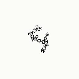 CC(C)(C)OC(=O)N1CCC(Nc2ccnc(C(=O)Nc3ccc(-c4cc5c(N6CCC(F)(F)CC6)ncnc5n4COCC[Si](C)(C)C)cc3)c2)CC1